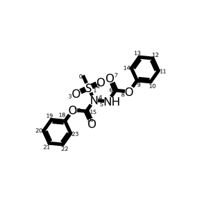 CS(=O)(=O)N(NC(=O)Oc1ccccc1)C(=O)Oc1ccccc1